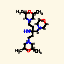 CC1CN(CCC([NH])(CCN2CC(C)OC(C)C2)CN2CCOCC2)CC(C)O1